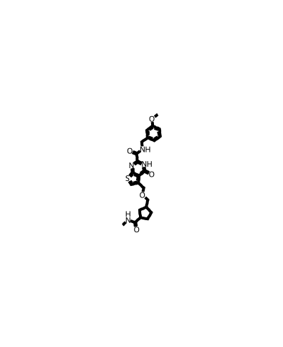 CNC(=O)C1CCC(COCc2csc3nc(C(=O)NCc4cccc(OC)c4)[nH]c(=O)c23)C1